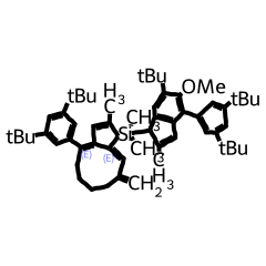 C=C1/C=C2\C(=C(\c3cc(C(C)(C)C)cc(C(C)(C)C)c3)CCCC1)C=C(C)C2[Si](C)(C)C1C(C)=Cc2c1cc(C(C)(C)C)c(OC)c2-c1cc(C(C)(C)C)cc(C(C)(C)C)c1